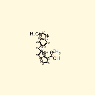 COC(O)c1ccnc2cc(Cc3ccc4ncn(C)c4c3)[nH]c12